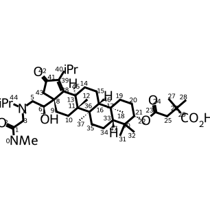 CNC(=O)CN(C[C@H](O)[C@@]12CC[C@]3(C)[C@H](CC[C@@H]4[C@@]5(C)CC[C@H](OC(=O)CC(C)(C)C(=O)O)C(C)(C)[C@@H]5CC[C@]43C)C1=C(C(C)C)C(=O)C2)C(C)C